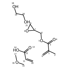 C=C(C)C(=O)OCC1CO1.C=CC(=O)O.COC.OCCO